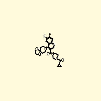 O=C(c1cnc2cc(F)c(F)cc2c1N1CCC2(CC1)OCCO2)N1CCN(C(=O)C2CC2)CC1